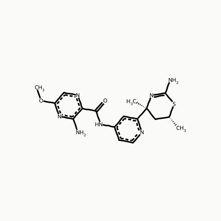 COc1cnc(C(=O)Nc2ccnc([C@]3(C)C[C@@H](C)SC(N)=N3)c2)c(N)n1